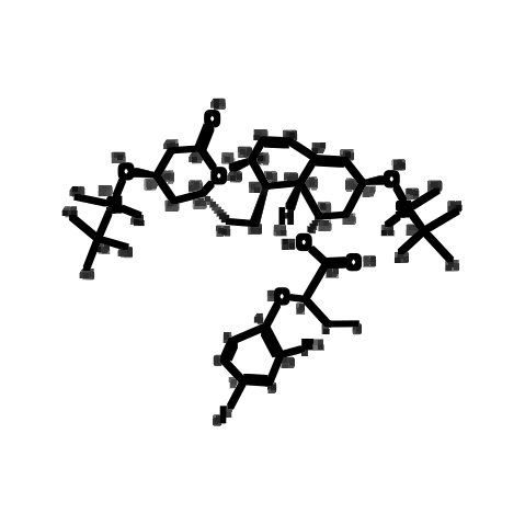 CCC(Oc1ccc(F)cc1F)C(=O)O[C@H]1C[C@H](O[Si](C)(C)C(C)(C)C)C=C2C=C[C@H](C)[C@H](CC[C@@H]3C[C@@H](O[Si](C)(C)C(C)(C)C)CC(=O)O3)[C@H]21